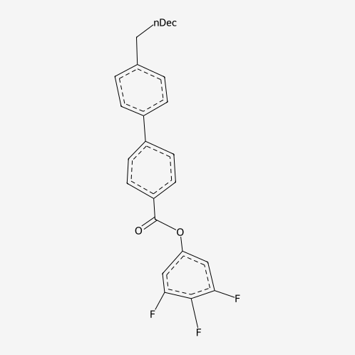 CCCCCCCCCCCc1ccc(-c2ccc(C(=O)Oc3cc(F)c(F)c(F)c3)cc2)cc1